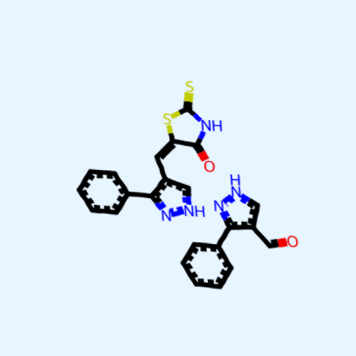 O=C1NC(=S)SC1=Cc1c[nH]nc1-c1ccccc1.O=Cc1c[nH]nc1-c1ccccc1